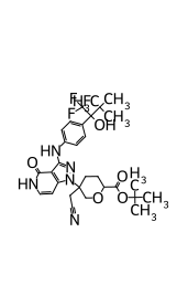 CC(C)(C)OC(=O)C1CCC(CC#N)(n2nc(Nc3ccc(C(O)(C(C)(C)C)C(F)(F)F)cc3)c3c(=O)[nH]ccc32)CO1